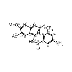 COc1nc2nc(C)nc(N[C@H](C)c3cc(N)cc(C(F)(F)F)c3)c2cc1C(C)=O